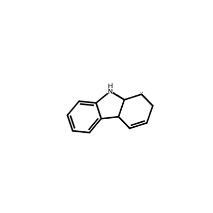 [C]1CC=CC2c3ccccc3NC12